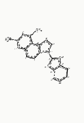 Nc1nc(N)c2c(ccc3c2ccn3-c2nc3ccccc3s2)n1